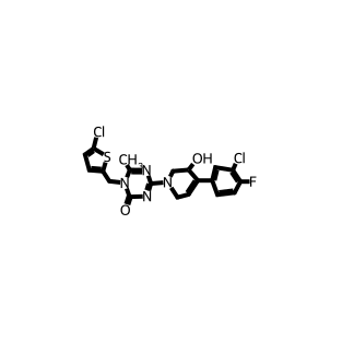 Cc1nc(N2CC=C(c3ccc(F)c(Cl)c3)C(O)C2)nc(=O)n1Cc1ccc(Cl)s1